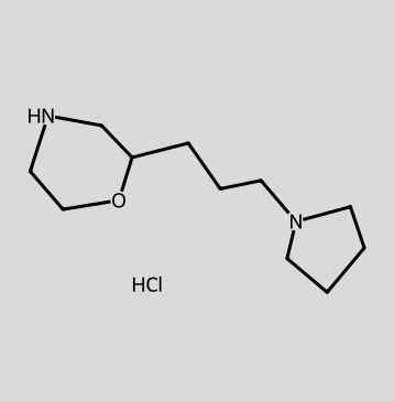 C1CCN(CCCC2CNCCO2)C1.Cl